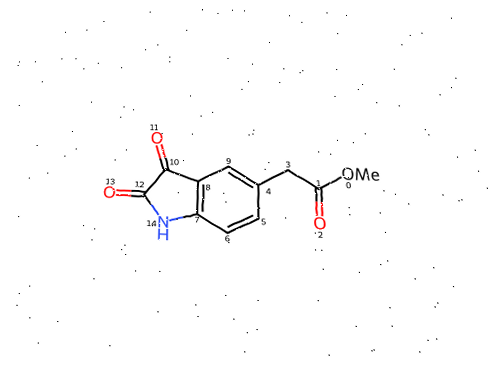 COC(=O)Cc1ccc2c(c1)C(=O)C(=O)N2